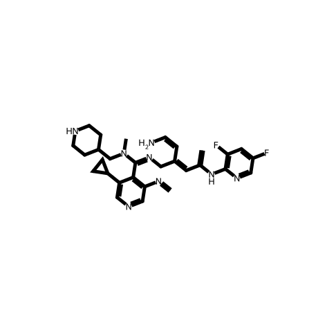 C=Nc1cncc(C2CC2)c1/C(=N\CC(/C=C\N)=C/C(=C)Nc1ncc(F)cc1F)N(C)CC1CCNCC1